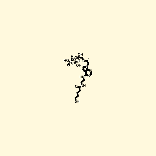 C[C@H](Cn1cnc2c(NCCNC(=O)CCCCS)ncnc21)OCP(=O)(O)OP(=O)(O)OP(=O)(O)O